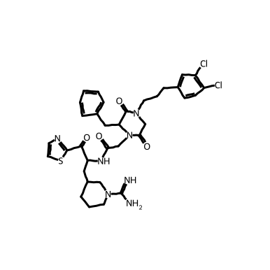 N=C(N)N1CCCC(CC(NC(=O)CN2C(=O)CN(CCCc3ccc(Cl)c(Cl)c3)C(=O)C2Cc2ccccc2)C(=O)c2nccs2)C1